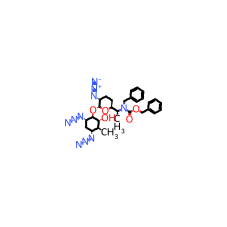 C[C@@H]1[C@@H](O)[C@H](O[C@H]2O[C@H]([C@H](C)N(Cc3ccccc3)C(=O)OCc3ccccc3)CC[C@H]2N=[N+]=[N-])[C@@H](N=[N+]=[N-])C[C@H]1N=[N+]=[N-]